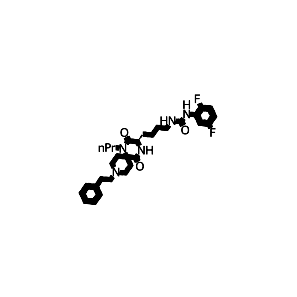 CCCN1C(=O)[C@H](CCCCNC(=O)Nc2cc(F)ccc2F)NC(=O)C12CCN(CCc1ccccc1)CC2